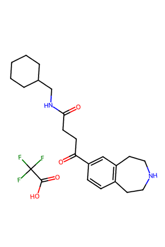 O=C(CCC(=O)c1ccc2c(c1)CCNCC2)NCC1CCCCC1.O=C(O)C(F)(F)F